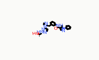 Cc1c(C(=O)Nc2cccc(Cc3nccn3-c3ccnc(NC[C@H](C)O)n3)c2)cnn1-c1ccccc1